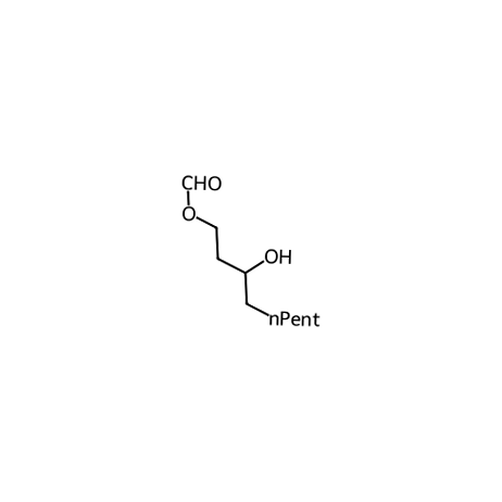 CCCCCCC(O)CCOC=O